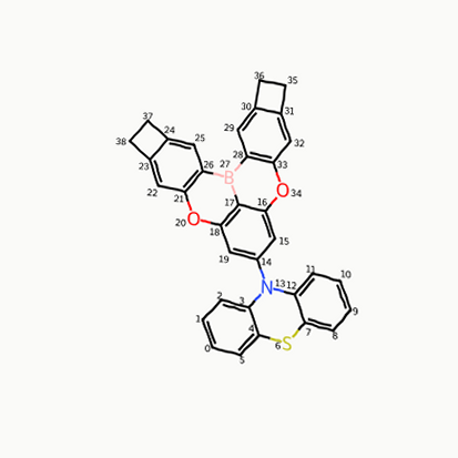 c1ccc2c(c1)Sc1ccccc1N2c1cc2c3c(c1)Oc1cc4c(cc1B3c1cc3c(cc1O2)CC3)CC4